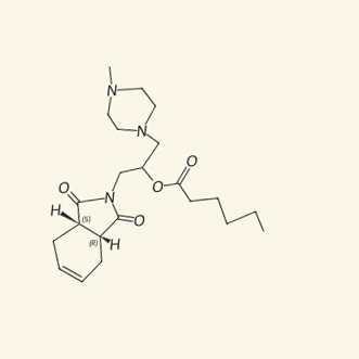 CCCCCC(=O)OC(CN1CCN(C)CC1)CN1C(=O)[C@H]2CC=CC[C@H]2C1=O